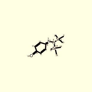 C[Si](C)(C)N(N=C1C=CC(=O)C=C1)[Si](C)(C)C